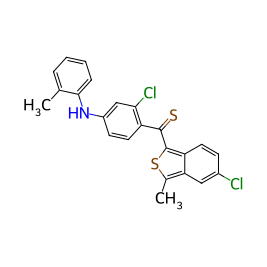 Cc1ccccc1Nc1ccc(C(=S)c2sc(C)c3cc(Cl)ccc23)c(Cl)c1